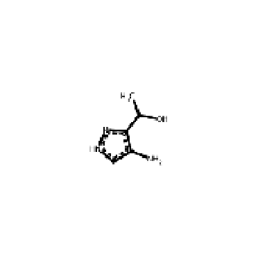 CC(O)c1n[nH]cc1N